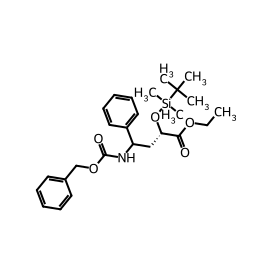 CCOC(=O)[C@H](CC(NC(=O)OCc1ccccc1)c1ccccc1)O[Si](C)(C)C(C)(C)C